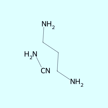 N#CN.NCCCN